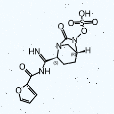 N=C(NC(=O)c1ccco1)[C@@H]1CC[C@@H]2CN1C(=O)N2OS(=O)(=O)O